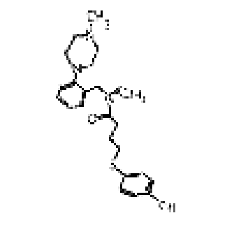 CN1CCN(c2ccccc2CN(C)C(=O)CCCSc2ccc(O)cc2)CC1